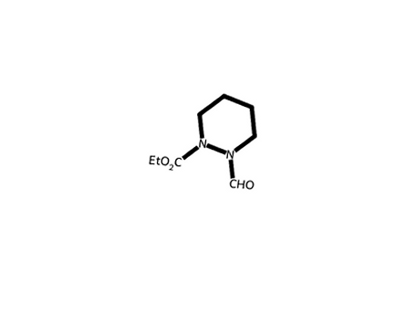 CCOC(=O)N1CCCCN1C=O